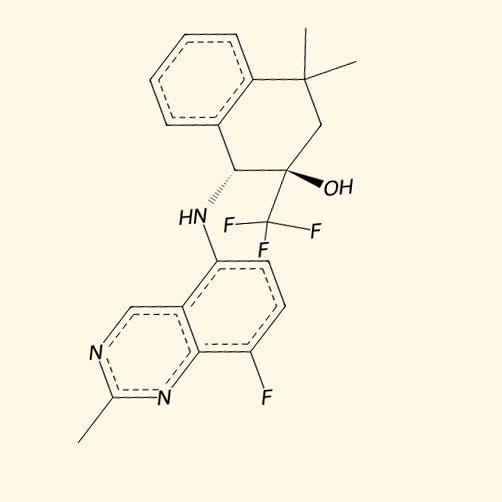 Cc1ncc2c(N[C@@H]3c4ccccc4C(C)(C)C[C@]3(O)C(F)(F)F)ccc(F)c2n1